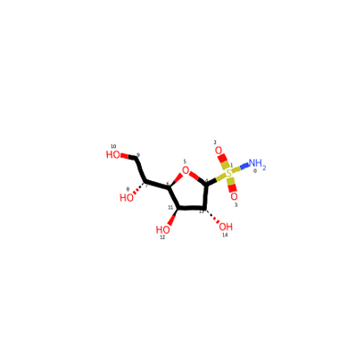 NS(=O)(=O)C1O[C@H]([C@H](O)CO)[C@H](O)[C@H]1O